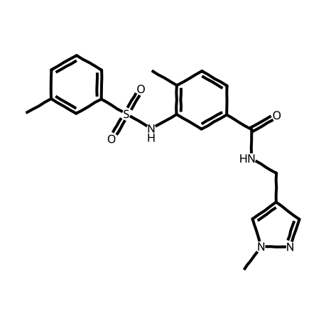 Cc1cccc(S(=O)(=O)Nc2cc(C(=O)NCc3cnn(C)c3)ccc2C)c1